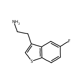 NCCc1csc2ccc(F)cc12